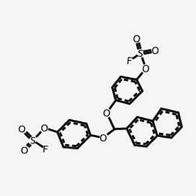 O=S(=O)(F)Oc1ccc(OC(Oc2ccc(OS(=O)(=O)F)cc2)c2ccc3ccccc3c2)cc1